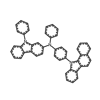 c1ccc(N(c2ccc(-n3c4ccccc4c4ccc5ccccc5c43)cc2)c2ccc3c4ccccc4n(-c4ccccc4)c3c2)cc1